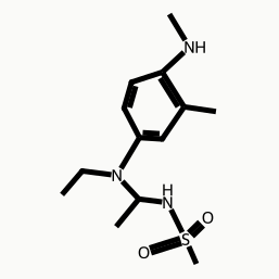 CCN(c1ccc(NC)c(C)c1)C(C)NS(C)(=O)=O